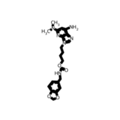 CN(C)c1cc(N)c2ncn(CCCCOC(=O)NCc3ccc4c(c3)OCO4)c2n1